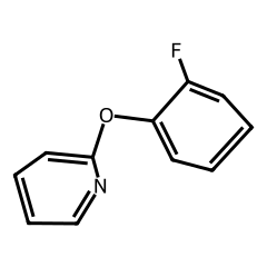 Fc1ccccc1Oc1ccccn1